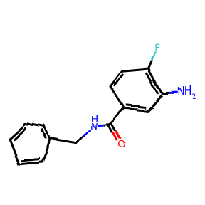 Nc1cc(C(=O)NCc2ccccc2)ccc1F